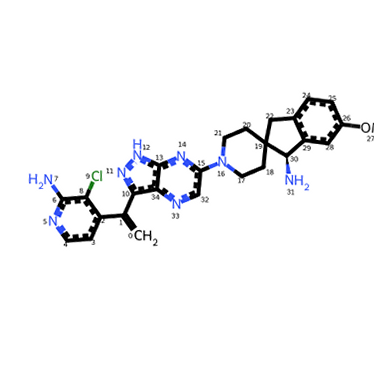 C=C(c1ccnc(N)c1Cl)c1n[nH]c2nc(N3CCC4(CC3)Cc3ccc(OC)cc3[C@H]4N)cnc12